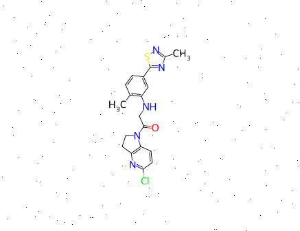 Cc1nsc(-c2ccc(C)c(NCC(=O)N3CCc4nc(Cl)ccc43)c2)n1